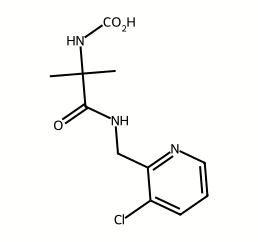 CC(C)(NC(=O)O)C(=O)NCc1ncccc1Cl